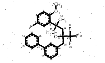 COc1ccc(F)cc1C(C)(C)CC(O)(Cc1cccc(-c2ccccc2)c1)C(F)(F)F